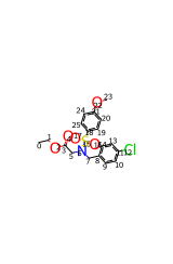 CCOC(=O)CN(Cc1ccc(Cl)cc1)S(=O)(=O)c1ccc(OC)cc1